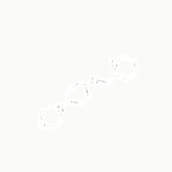 C(=N\c1ccc(N2CCOCC2)cc1)/c1ccccn1